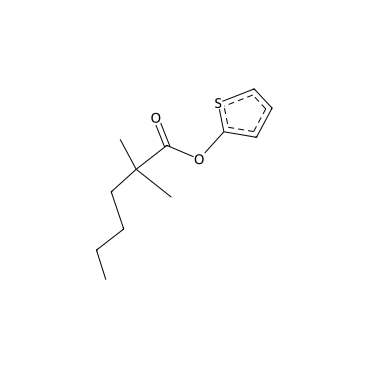 CCCCC(C)(C)C(=O)Oc1cccs1